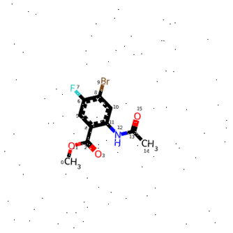 COC(=O)c1cc(F)c(Br)cc1NC(C)=O